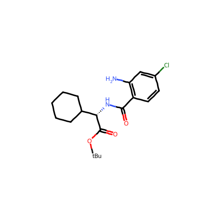 CC(C)(C)OC(=O)[C@@H](NC(=O)c1ccc(Cl)cc1N)C1CCCCC1